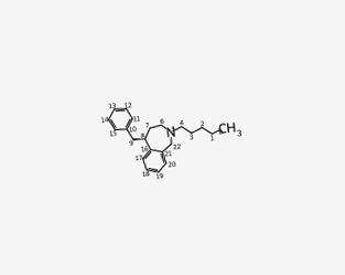 CCCCCN1CC[C@H](Cc2ccccc2)c2ccccc2C1